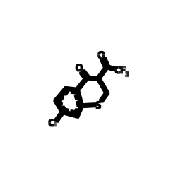 O=C1c2ccc(Cl)cc2SCC1C(=O)C(F)(F)F